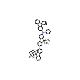 CC1(C)c2cc(-c3ccc4c(c3)[C@]3(c5ccccc5-4)[C@@H]4CC5C[C@@H]6C[C@@H]3C564)ccc2-c2ccc(N(c3ccccc3)c3ccc4c(c3)C3(CC5CCC3C5)c3ccccc3-4)cc21